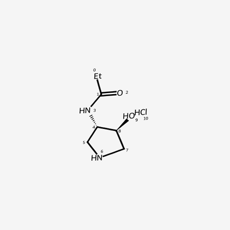 CCC(=O)N[C@H]1CNC[C@@H]1O.Cl